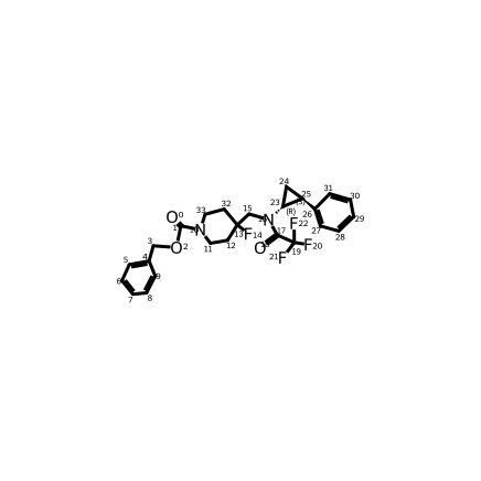 O=C(OCc1ccccc1)N1CCC(F)(CN(C(=O)C(F)(F)F)[C@@H]2C[C@H]2c2ccccc2)CC1